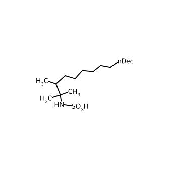 CCCCCCCCCCCCCCCCC(C)C(C)(C)NS(=O)(=O)O